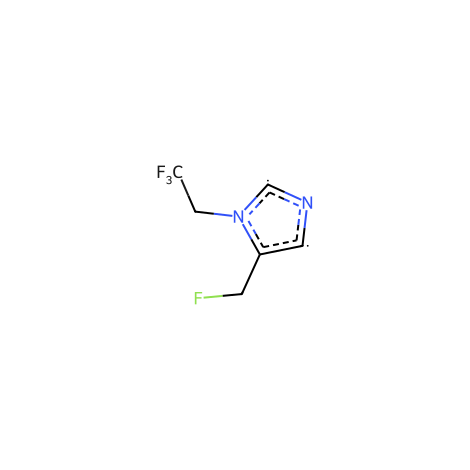 FCc1[c]n[c]n1CC(F)(F)F